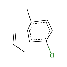 Cc1ccc(Cl)cc1.[CH2]C=C